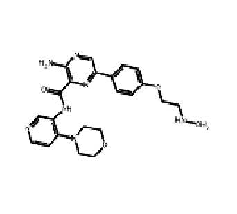 BNCCOc1ccc(-c2cnc(N)c(C(=O)Nc3cnccc3N3CCOCC3)n2)cc1